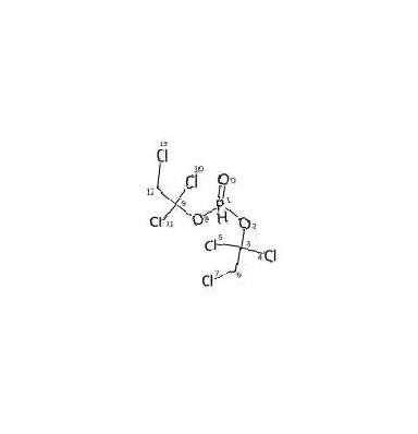 O=[PH](OC(Cl)(Cl)CCl)OC(Cl)(Cl)CCl